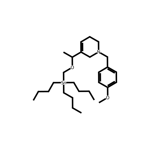 CCC[CH2][Sn]([CH2]CCC)([CH2]CCC)[CH2]OC(C)C1=CCCN(Cc2ccc(OC)cc2)C1